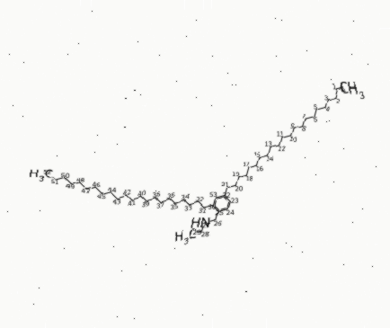 CCCCCCCCCCCCCCCCCCCCCCc1ccc(CNCC)c(CCCCCCCCCCCCCCCCCCCCCC)c1